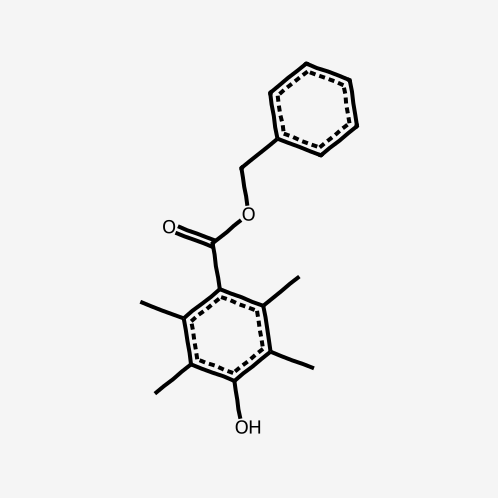 Cc1c(C)c(C(=O)OCc2ccccc2)c(C)c(C)c1O